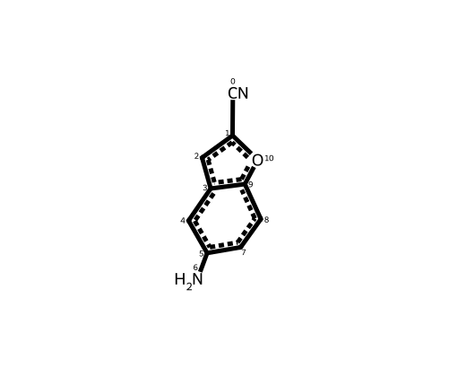 N#Cc1cc2cc(N)ccc2o1